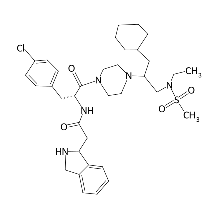 CCN(CC(CC1CCCCC1)N1CCN(C(=O)[C@@H](Cc2ccc(Cl)cc2)NC(=O)CC2NCc3ccccc32)CC1)S(C)(=O)=O